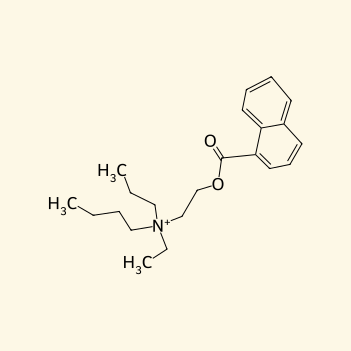 CCCC[N+](CC)(CCC)CCOC(=O)c1cccc2ccccc12